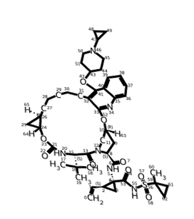 C=C[C@@H]1C[C@]1(NC(=O)[C@@H]1C[C@@H]2CN1C(=O)[C@H](C(C)(C)C)NC(=O)O[C@@H]1C[C@H]1CCCCCc1c(nc3ccccc3c1OC1CCN(C3CC3)CC1)O2)C(=O)NS(=O)(=O)C1(C)CC1